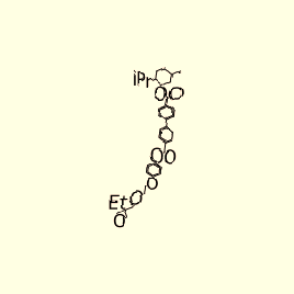 CCC1(COCCOc2ccc(OC(=O)c3ccc(-c4ccc(C(=O)OC5CC(C)CCC5C(C)C)cc4)cc3)cc2)COC1